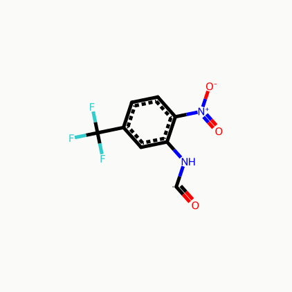 O=[C]Nc1cc(C(F)(F)F)ccc1[N+](=O)[O-]